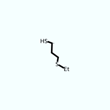 CCSCC[CH]S